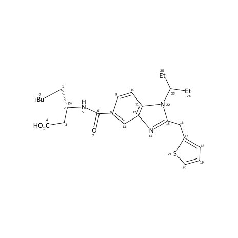 CCC(C)C[C@@H](CC(=O)O)NC(=O)c1ccc2c(c1)nc(Cc1cccs1)n2C(CC)CC